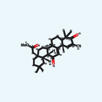 COC(=O)C[C@]12CCC(C)(C)C[C@H]1[C@H]1C(=O)C=C3[C@@]4(C)C=C(C#N)C(=O)C(C)(C)C4CC[C@@]3(C)[C@]1(C)CC2